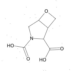 O=C(O)C1C2COC2CN1C(=O)O